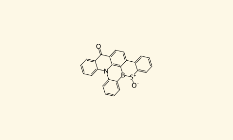 O=c1c2ccccc2n2c3c4c(ccc13)-c1ccccc1[S+]([O-])B4c1ccccc1-2